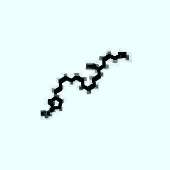 C=C1CC[C@@H](/C=C/C=C\C/C=C\C/C=C\C=C\[C@@H](O)C/C=C\CC)O1